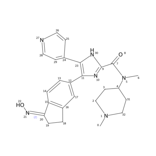 CN1CCC(N(C)C(=O)c2nc(-c3ccc4c(c3)CC/C4=N/O)c(-c3ccncc3)[nH]2)CC1